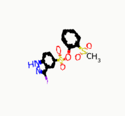 CS(=O)(=O)c1ccccc1OS(=O)(=O)c1ccc2[nH]nc(I)c2c1